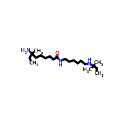 CCC(C)(N)CCCCCC(=O)NCCCCCCNC(C)(C)CC